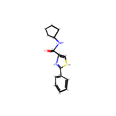 O=C(NC1CCCC1)c1csc(-c2ccccc2)n1